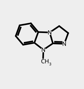 CN1C2=NCCN2c2ccccc21